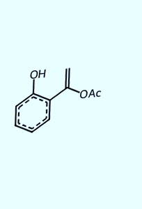 C=C(OC(C)=O)c1ccccc1O